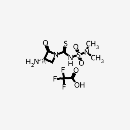 CN(C)S(=O)(=O)NC(=S)N1C[C@H](N)C1=O.O=C(O)C(F)(F)F